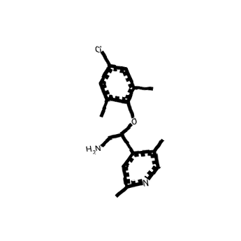 Cc1cc(C(CN)Oc2c(C)cc(Cl)cc2C)c(C)cn1